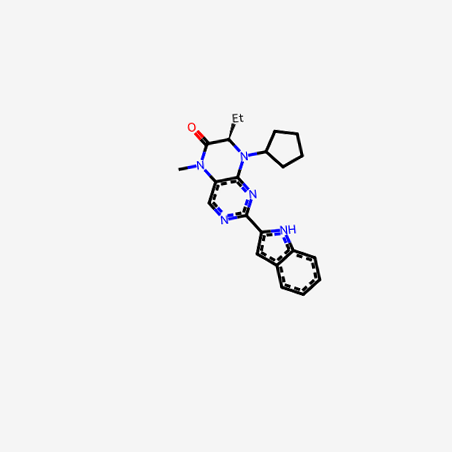 CC[C@@H]1C(=O)N(C)c2cnc(-c3cc4ccccc4[nH]3)nc2N1C1CCCC1